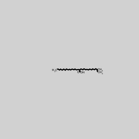 CCCCCCCCCCCCCCCCC(CCCCCCCCCCCC(C)CC)C(=O)O